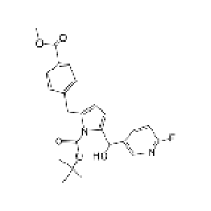 COC(=O)c1ccc(Cc2ccc(C(O)c3ccc(F)nc3)n2C(=O)OC(C)(C)C)cc1